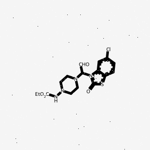 CCOC(=O)NN1CCN(C(C=O)n2c(=O)sc3ccc(Cl)cc32)CC1